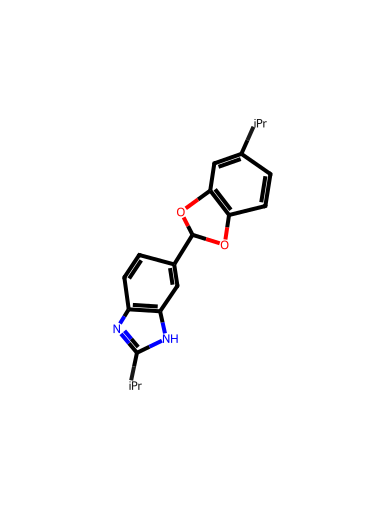 CC(C)c1ccc2c(c1)OC(c1ccc3nc(C(C)C)[nH]c3c1)O2